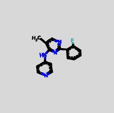 Cc1cnc(-c2ccccc2F)nc1Nc1ccncc1